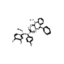 CN1C(=O)[C@@H](NC(=O)[C@H](c2ccc(F)cc2)[C@@H](CBr)c2ccc(F)c(F)c2)N=C(c2ccccc2)c2ccccc21